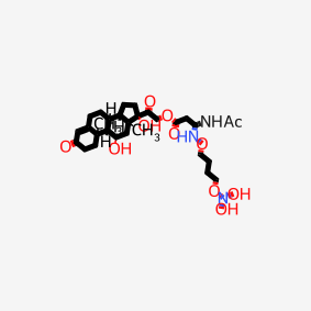 CC(=O)NC(CC(=O)OCC(=O)[C@@]1(O)CC[C@H]2[C@@H]3CCC4=CC(=O)CC[C@]4(C)[C@H]3[C@@H](O)C[C@@]21C)NOCCCCON(O)O